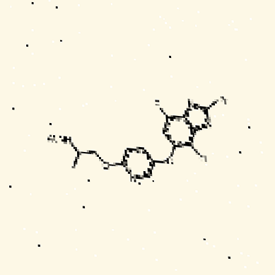 CC(=O)NC(C)COc1ccc(Oc2cc(F)c3nc(C(C)C)sc3c2Cl)cn1